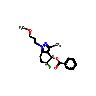 O=C(O[C@H]1c2c(C(F)(F)F)nn(CCCOC(F)(F)F)c2CC[C@@H]1F)c1ccccc1